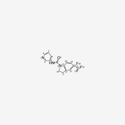 O=C(Nc1cccnc1)N1CCc2cc(C(F)(F)F)ccc21